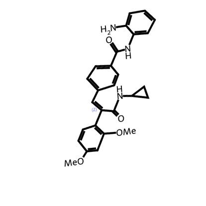 COc1ccc(/C(=C/c2ccc(C(=O)Nc3ccccc3N)cc2)C(=O)NC2CC2)c(OC)c1